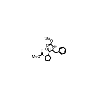 COC(=O)[C@H]1CCC[C@@H]1C(O)C(Cc1ccccc1)NC(=O)OC(C)(C)C